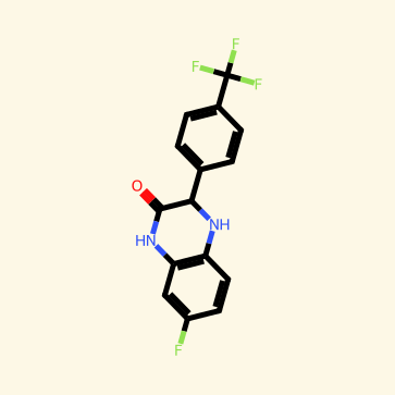 O=C1Nc2cc(F)ccc2NC1c1ccc(C(F)(F)F)cc1